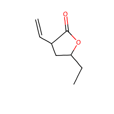 C=CC1CC(CC)OC1=O